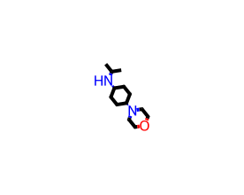 CC(C)N[C@H]1CC[C@H](N2CCOCC2)CC1